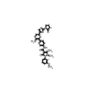 COc1cccc(-n2c(=O)c(C(=O)Nc3ccc(-c4nc(-c5csc(N6CCCC6=O)n5)cnc4N)nc3)c(C)n2C)c1